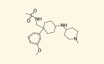 COc1cccc(C2(CNS(C)(=O)=O)CCC(NC3CCN(C)CC3)CC2)c1